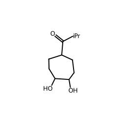 CC(C)C(=O)C1CCC(O)C(O)CC1